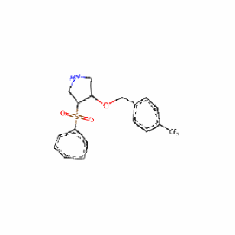 O=S(=O)(c1ccccc1)C1CNCC1OCc1ccc(C(F)(F)F)cc1